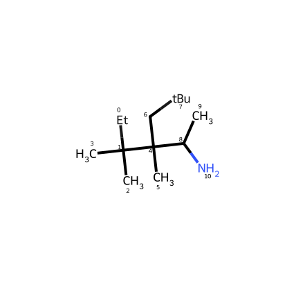 CCC(C)(C)C(C)(CC(C)(C)C)C(C)N